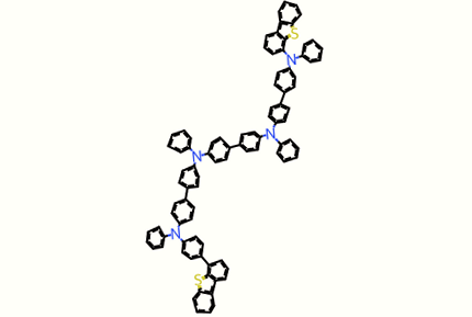 c1ccc(N(c2ccc(-c3ccc(N(c4ccccc4)c4ccc(-c5ccc(N(c6ccccc6)c6cccc7c6sc6ccccc67)cc5)cc4)cc3)cc2)c2ccc(-c3ccc(N(c4ccccc4)c4ccc(-c5cccc6c5sc5ccccc56)cc4)cc3)cc2)cc1